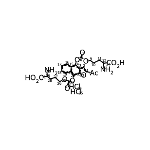 CC(=O)c1cc2c(OC(=O)OCCCC(N)C(=O)O)c3ccccc3c(OC(=O)OCCCC(N)C(=O)O)c2o1.Cl.Cl